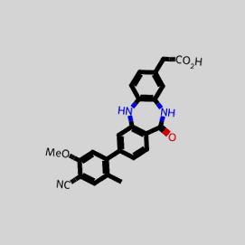 COc1cc(-c2ccc3c(c2)Nc2ccc(CC(=O)O)cc2NC3=O)c(C)cc1C#N